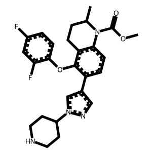 COC(=O)N1c2ccc(-c3cnn(C4CCNCC4)c3)c(Oc3ccc(F)cc3F)c2CCC1C